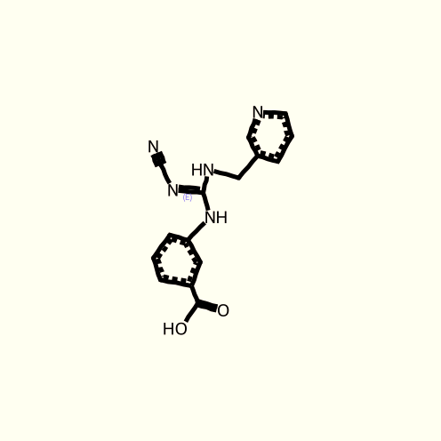 N#C/N=C(\NCc1cccnc1)Nc1cccc(C(=O)O)c1